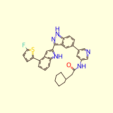 O=C(CC1CCCCC1)Nc1cncc(-c2ccc3[nH]nc(-c4cc5c(-c6ccc(F)s6)cccc5[nH]4)c3c2)c1